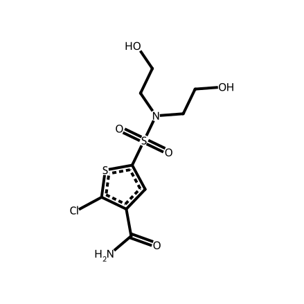 NC(=O)c1cc(S(=O)(=O)N(CCO)CCO)sc1Cl